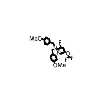 COc1ccc(CN(Cc2ccc(OC)cc2)c2ncc(OC(F)F)cc2F)cc1